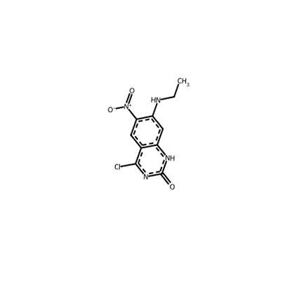 CCNc1cc2[nH]c(=O)nc(Cl)c2cc1[N+](=O)[O-]